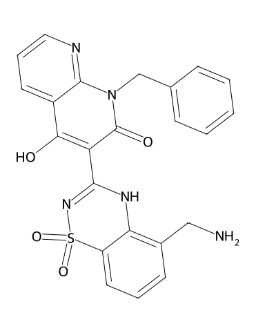 NCc1cccc2c1NC(c1c(O)c3cccnc3n(Cc3ccccc3)c1=O)=NS2(=O)=O